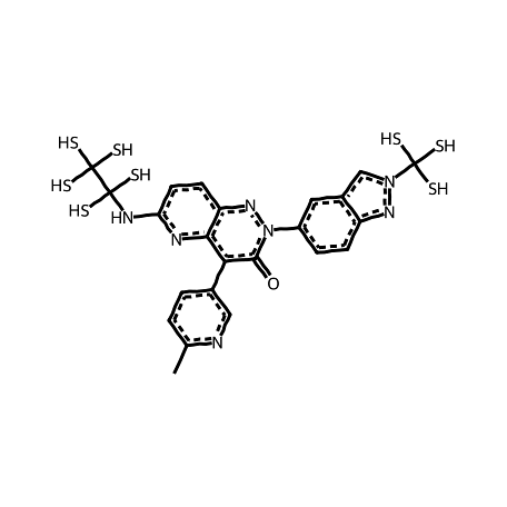 Cc1ccc(-c2c(=O)n(-c3ccc4nn(C(S)(S)S)cc4c3)nc3ccc(NC(S)(S)C(S)(S)S)nc23)cn1